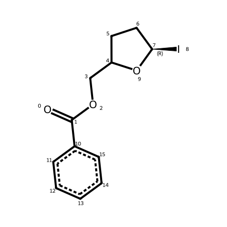 O=C(OCC1CC[C@@H](I)O1)c1ccccc1